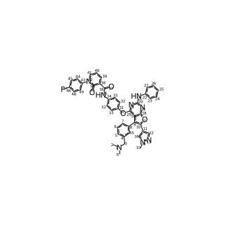 CN(C)Cc1cccc(-c2c(-c3cnn(C)c3)oc3nc(Nc4ccccc4)nc(Oc4ccc(NC(=O)c5cccn(-c6ccc(F)cc6)c5=O)cc4)c23)c1